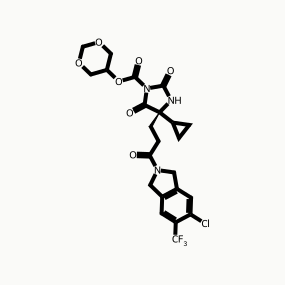 O=C(CC[C@]1(C2CC2)NC(=O)N(C(=O)OC2COCOC2)C1=O)N1Cc2cc(Cl)c(C(F)(F)F)cc2C1